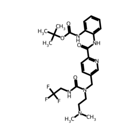 CN(C)CCN(Cc1ccc(C(=O)Nc2ccccc2NC(=O)OC(C)(C)C)nc1)C(=O)NCC(F)(F)F